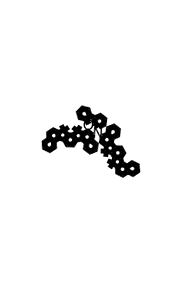 CC1(C)c2ccc3ccccc3c2-c2ccc3c(c21)C(C)(C)c1cc(N(c2cc4c(c5ccccc25)-c2ccc5c(c2C4(C)C)C(C)(C)c2ccc4ccccc4c2-5)c2cccc4c2oc2ccccc24)c2ccccc2c1-3